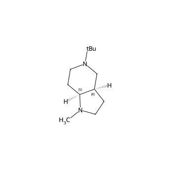 CN1CC[C@@H]2CN(C(C)(C)C)CC[C@@H]21